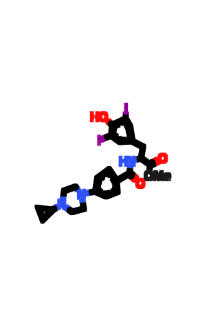 COC(=O)C(Cc1cc(I)c(O)c(I)c1)NC(=O)c1ccc(N2CCN(C3CC3)CC2)cc1